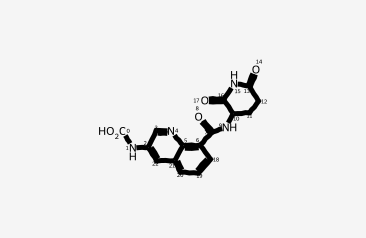 O=C(O)Nc1cnc2c(C(=O)NC3CCC(=O)NC3=O)cccc2c1